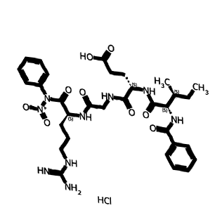 CC[C@H](C)[C@H](NC(=O)c1ccccc1)C(=O)N[C@@H](CCC(=O)O)C(=O)NCC(=O)N[C@@H](CCCNC(=N)N)C(=O)N(c1ccccc1)[N+](=O)[O-].Cl